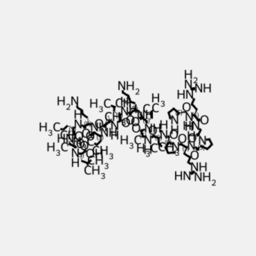 CC(C)C[C@H](NC(=O)[C@H](C)NC(=O)[C@H](CC(C)C)NC(=O)[C@H](CCCCN)NC(=O)[C@H](CC(C)C)NC(=O)[C@H](C)NC(=O)[C@H](CC(C)C)NC(=O)[C@H](CCCCN)NC(=O)[C@H](CC(C)C)NC(=O)[C@H](C)NC(=O)[C@@H](NC(=O)[C@@H]1CCCN1C(=O)[C@H](CCCNC(=N)N)NC(=O)[C@@H]1CCCN1C(=O)CNC(=O)[C@H](CCCNC(=N)N)NC(=O)[C@@H]1CCCN1)C(C)C)C(=O)O